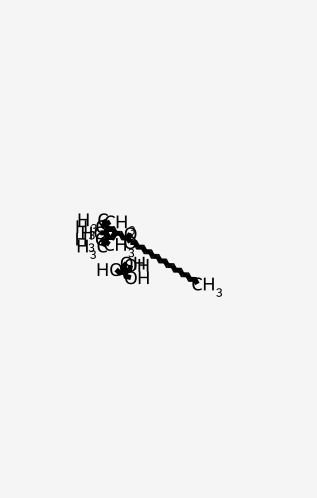 CCCCCCCCCCCCCCCCCCOC(=O)CCc1cc(C(C)(C)C)c(O)c(C(C)(C)C)c1.OCC(CO)(CO)CO